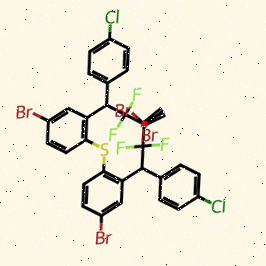 C=C(Br)C(F)(F)C(c1ccc(Cl)cc1)c1cc(Br)ccc1Sc1ccc(Br)cc1C(c1ccc(Cl)cc1)C(F)(F)C(=C)Br